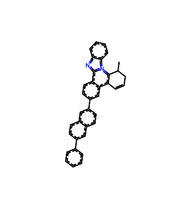 CC1CC=Cc2c1n1c3ccccc3nc1c1ccc(-c3ccc4cc(-c5ccccc5)ccc4c3)cc21